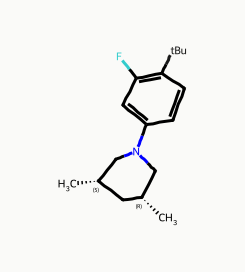 C[C@@H]1C[C@H](C)CN(c2ccc(C(C)(C)C)c(F)c2)C1